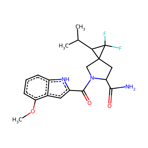 COc1cccc2[nH]c(C(=O)N3CC4(CC3C(N)=O)C(C(C)C)C4(F)F)cc12